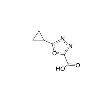 O=C(O)c1nnc(C2CC2)o1